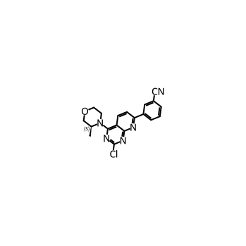 C[C@H]1COCCN1c1nc(Cl)nc2nc(-c3cccc(C#N)c3)ccc12